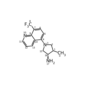 CC1CN(c2ccc(C(F)(F)F)c3ncccc23)C[C@@H]1N